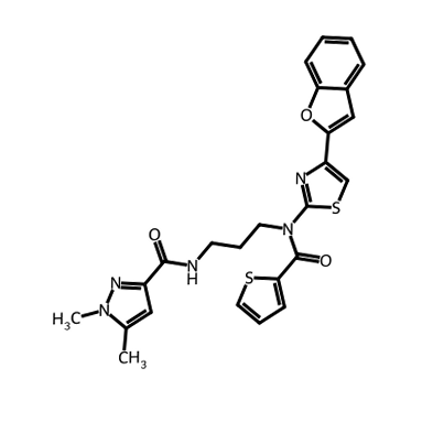 Cc1cc(C(=O)NCCCN(C(=O)c2cccs2)c2nc(-c3cc4ccccc4o3)cs2)nn1C